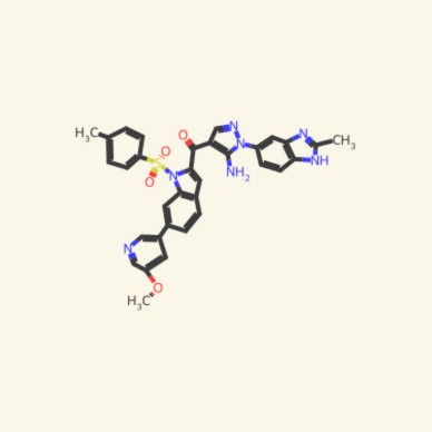 COc1cncc(-c2ccc3cc(C(=O)c4cnn(-c5ccc6[nH]c(C)nc6c5)c4N)n(S(=O)(=O)c4ccc(C)cc4)c3c2)c1